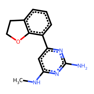 CNc1cc(-c2cccc3c2OCC3)nc(N)n1